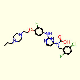 CCCN1CCN(CCOc2ccc(Nc3nccc(N(Cc4cc(Cl)ccc4F)C(=O)O)n3)cc2F)CC1